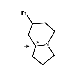 CC(C)C1CCN2CCC[C@H]2C1